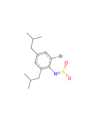 CC(C)Cc1cc(Br)c(N=S(=O)=O)c(CC(C)C)c1